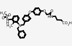 Cc1c(NS(C)(=O)=O)cccc1N(Cc1ccccc1)Cc1ccc(Oc2ccc(OCC(=O)NCCCC(=O)O)cc2)cc1